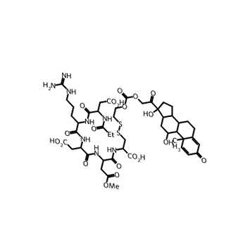 CCC(=O)NC(CC(=O)O)C(=O)NC(CCCNC(=N)N)C(=O)NC(CC(=O)O)C(=O)NC(CC(=O)OC)C(=O)NC(CSSCCOC(=O)OCC(=O)C1(O)CCC2C3CCC4=CC(=O)C=CC4(C)C3C(O)CC21)C(=O)O